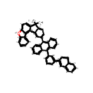 CC1(C)c2ccc(-c3c4ccccc4c(-c4cccc(-c5ccc6ccccc6c5)c4)c4ccccc34)cc2-c2c1ccc1oc3ccccc3c21